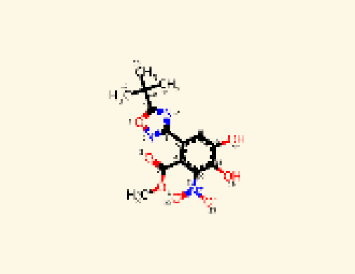 COC(=O)c1c(-c2noc(C(C)(C)C)n2)cc(O)c(O)c1[N+](=O)[O-]